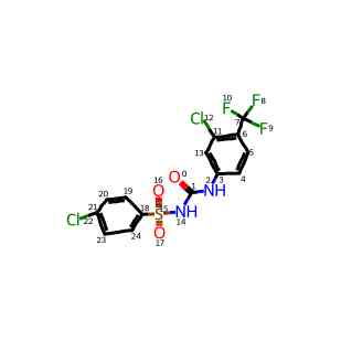 O=C(Nc1ccc(C(F)(F)F)c(Cl)c1)NS(=O)(=O)c1ccc(Cl)cc1